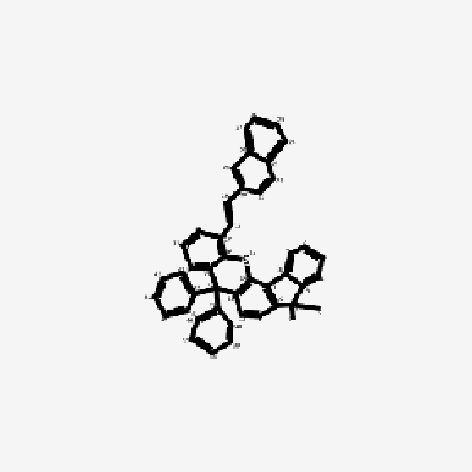 CC1(C)c2ccccc2-c2c1ccc1c2Sc2c(/C=C/c3ccc4ccccc4c3)cccc2C1(c1ccccc1)c1ccccc1